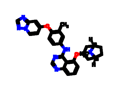 Cc1cc(Nc2ncnc3cccc(OC4C[C@H]5CC[C@@H](C4)N5C)c23)ccc1Oc1ccn2ncnc2c1